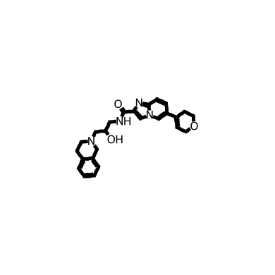 O=C(NCC(O)CN1CCc2ccccc2C1)c1cn2cc(C3=CCOCC3)ccc2n1